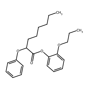 CCCCCCC(Oc1ccccc1)C(=O)Oc1ccccc1OCCC